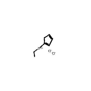 C[CH2][Zr+2][C]1=CC=CC1.[Cl-].[Cl-]